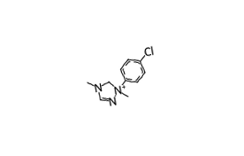 CN1C=N[N+](C)(c2ccc(Cl)cc2)C1